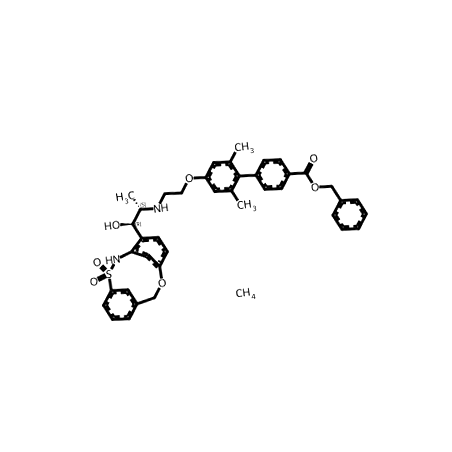 C.Cc1cc(OCCN[C@@H](C)[C@H](O)c2ccc3cc2NS(=O)(=O)c2cccc(c2)CO3)cc(C)c1-c1ccc(C(=O)OCc2ccccc2)cc1